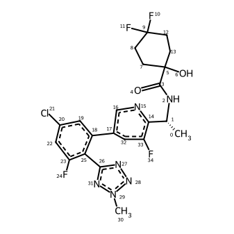 C[C@@H](NC(=O)C1(O)CCC(F)(F)CC1)c1ncc(-c2cc(Cl)cc(F)c2-c2nnn(C)n2)cc1F